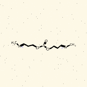 C/N=C/CCOS(=O)OCC/C=N/C